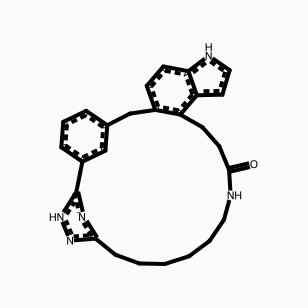 O=C1CCc2c(ccc3[nH]ccc23)Cc2cccc(c2)-c2nc(n[nH]2)CCCCCCN1